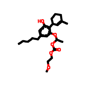 CCCCCc1cc(O)c(C2C=C(C)CCC2)c(OC(C)OC(=O)OCCOC)c1